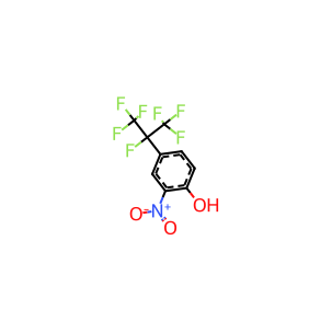 O=[N+]([O-])c1cc(C(F)(C(F)(F)F)C(F)(F)F)ccc1O